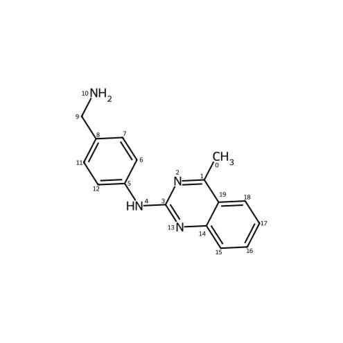 Cc1nc(Nc2ccc(CN)cc2)nc2ccccc12